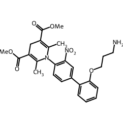 COC(=O)C1=C(C)N(c2ccc(-c3ccccc3OCCCN)cc2[N+](=O)[O-])C(C)=C(C(=O)OC)C1